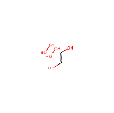 OCCO.OO.OO